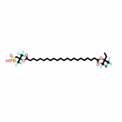 CCC(OC(=O)CCCCCCCCCCCCCCCCCCCCC(=O)OC(CS(=O)(=O)O)(C(F)(F)F)C(F)(F)F)(C(F)(F)F)C(F)(F)F